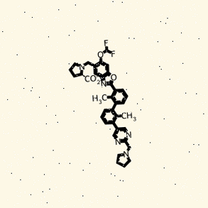 Cc1c(-c2cnc(CN3CCCC3)nc2)cccc1-c1cccc(-c2nc3cc(CN4CCC[C@H]4C(=O)O)c(OC(F)F)cc3o2)c1C